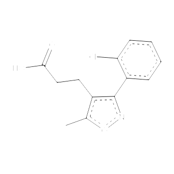 Cc1onc(-c2ccccc2Cl)c1CCC(=O)O